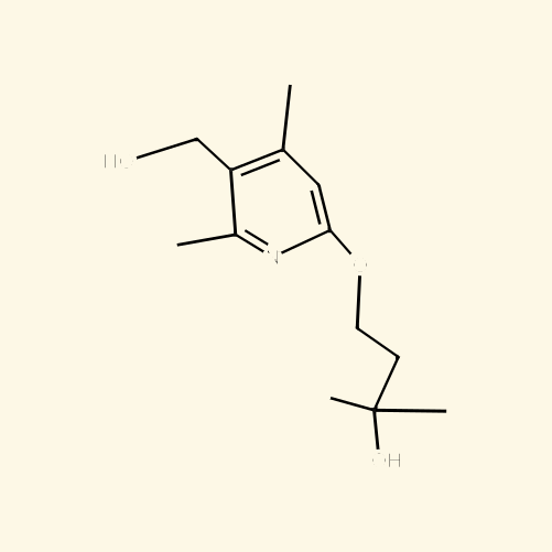 Cc1cc(OCCC(C)(C)O)nc(C)c1CO